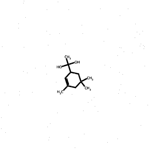 CC1=CC(C(C)(O)O)CC(C)(C)C1